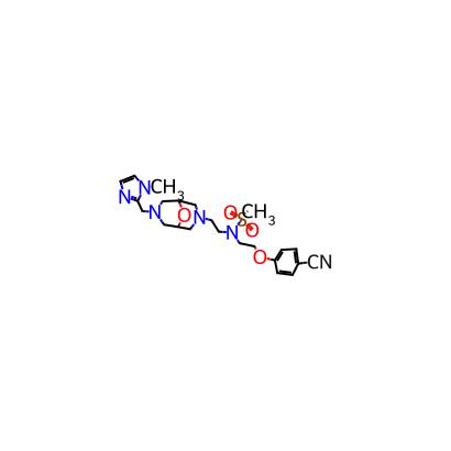 Cn1ccnc1CN1CC2CN(CCN(CCOc3ccc(C#N)cc3)S(C)(=O)=O)CC(C1)O2